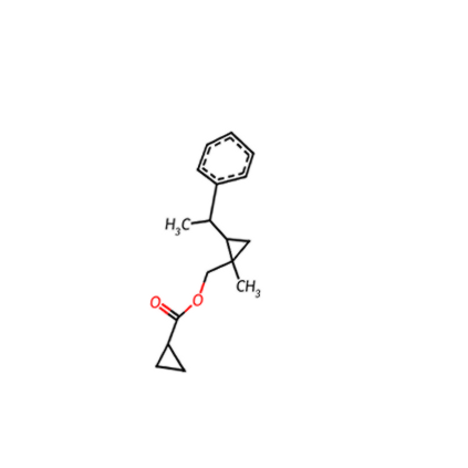 CC(c1ccccc1)C1CC1(C)COC(=O)C1CC1